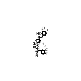 COc1cccc(CNc2cnc(S(=O)(=O)Nc3nc(-c4ccc(F)c(Cl)c4)c(C#N)s3)c(C)c2)c1O